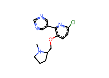 CN1CCC[C@@H]1COc1ccc(Cl)nc1-c1cncnc1